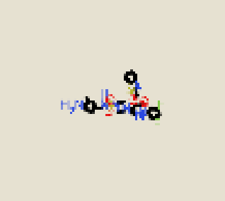 Cc1cc(CNS(=O)(=O)N2CCN(c3cnn(-c4cc(F)cc(F)c4)c(=O)c3OCc3nc4ccccc4s3)CC2)ccc1N